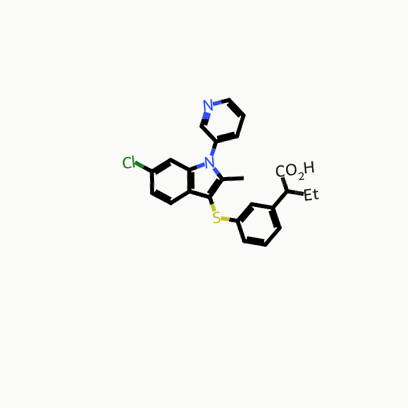 CCC(C(=O)O)c1cccc(Sc2c(C)n(-c3cccnc3)c3cc(Cl)ccc23)c1